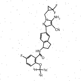 [2H]C([2H])([2H])Oc1ccc(F)cc1C(=O)NC1CCc2cc(-c3nn(CC4CC4(F)F)c(N)c3C#N)ccc21